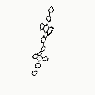 c1ccc(-c2ccc(N3c4ccccc4-n4c5ccc(-c6ccc7c(c6)c6cccc8c6n7-c6ccccc6N8c6ccc(-c7ccccc7)cc6)cc5c5cccc3c54)cc2)cc1